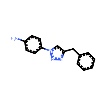 Nc1ccc(-n2cc(Cc3ccccc3)nn2)cc1